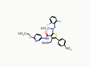 CCOC(=O)N(Cc1c(F)cccc1F)c1sc(-c2ccc([N+](=O)[O-])cc2)c(CNC)c1C(=O)Nc1ccc(OCC(=O)O)nc1